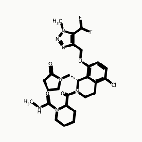 CNC(=O)N1CCCCC1C(=O)N1CCc2c(Cl)ccc(OCc3nnn(C)c3C(F)F)c2[C@H]1CN1CCCC1=O